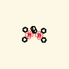 O=P(Oc1ccccc1)(Oc1ccccc1)OC1C2CC3CC(C2)CC1(OP(=O)(Oc1ccccc1)Oc1ccccc1)C3